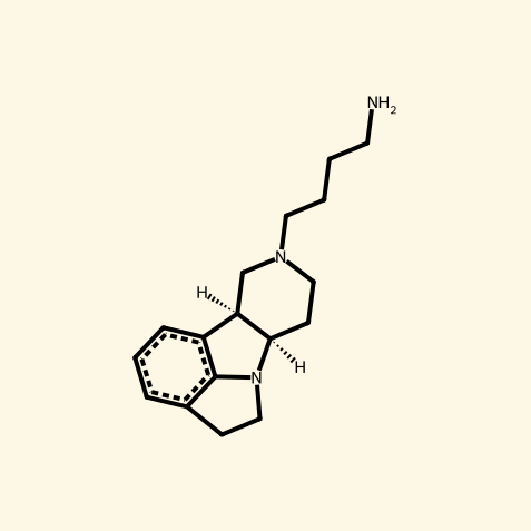 NCCCCN1CC[C@@H]2[C@H](C1)c1cccc3c1N2CC3